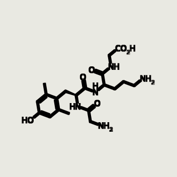 Cc1cc(O)cc(C)c1C[C@H](NC(=O)CN)C(=O)NC(CCCN)C(=O)NCC(=O)O